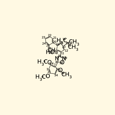 COc1cc(OC)c(-c2nc(-c3cc(C(C)(C)C)cc(-c4ccccc4C)c3O)no2)c(OC)c1